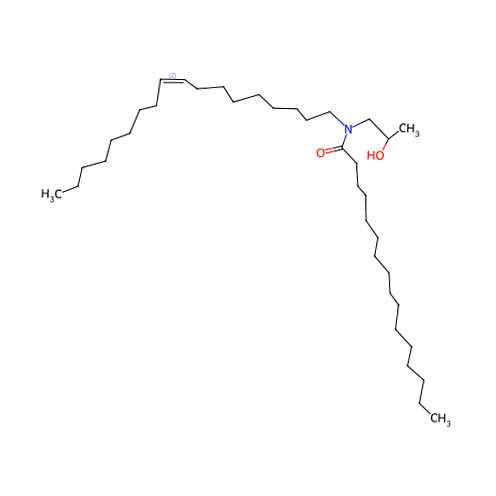 CCCCCCCC/C=C\CCCCCCCCN(CC(C)O)C(=O)CCCCCCCCCCCCCCC